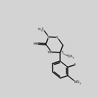 CN1SC[C@@](C)(c2cccc([N+](=O)[O-])c2F)NC1=N